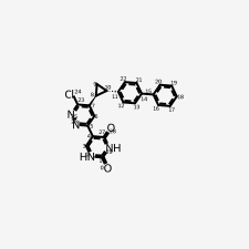 O=c1[nH]cc(-c2cc([C@H]3C[C@@H]3c3ccc(-c4ccccc4)cc3)c(Cl)nn2)c(=O)[nH]1